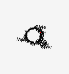 COC1CC(C[C@H]2C3CCCN4C(=O)C(=O)C5(O)O[C@@H](CCC5C)C[C@H](OC)/C(C)=C/C=C/C=C/C(C)CC(C)C(=O)[C@H](OC)C(O)/C(C)=C/C(C)C(=O)C[C@@H]2OC(=O)C34)CCC1S[PH](C)=O